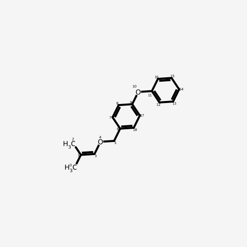 CC(C)=COCc1ccc(Oc2ccccc2)cc1